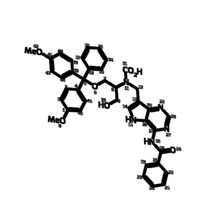 COc1ccc(C(OCC(CO)N(Cc2c[nH]c3c(NC(=O)c4ccccc4)ncnc23)C(=O)O)(c2ccccc2)c2ccc(OC)cc2)cc1